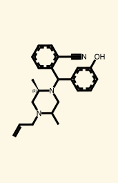 C=CCN1C[C@@H](C)N(C(c2cccc(O)c2)c2ccccc2C#N)CC1C